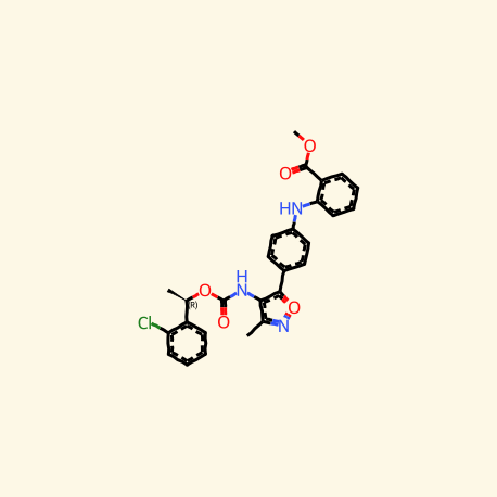 COC(=O)c1ccccc1Nc1ccc(-c2onc(C)c2NC(=O)O[C@H](C)c2ccccc2Cl)cc1